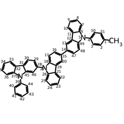 Cc1ccc(-n2c3ccccc3c3cc(-c4ccc5c(c4)c4ccccc4n5-c4ccc5c6ccccc6n(-c6ccccc6)c5c4)ccc32)cc1